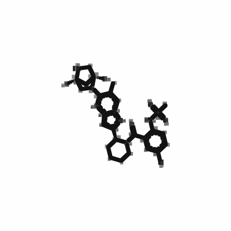 Cc1cn2nc([C@@H]3CCCCN3C(=O)c3cc(Cl)ccc3NS(C)(=O)=O)cc2nc1N1C[C@@H]2C[C@H]1CN2